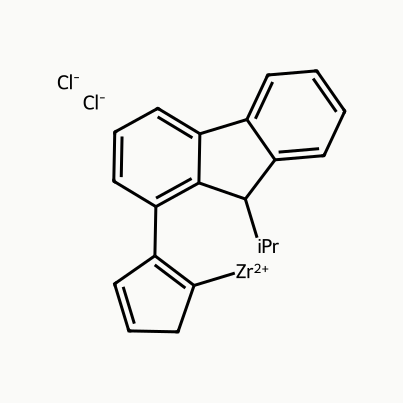 CC(C)C1c2ccccc2-c2cccc(C3=[C]([Zr+2])CC=C3)c21.[Cl-].[Cl-]